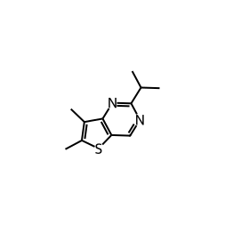 Cc1sc2cnc(C(C)C)nc2c1C